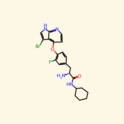 N[C@@H](Cc1ccc(Oc2ccnc3[nH]cc(Br)c23)c(F)c1)C(=O)NC1CCCCC1